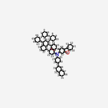 c1ccc(-c2c(-c3ccccc3)c(-c3ccccc3)c3c(-c4ccc(N(c5ccc(-c6ccc7ccccc7c6)cc5)c5ccc6c(c5)oc5ccccc56)cc4)cccc3c2-c2ccccc2)cc1